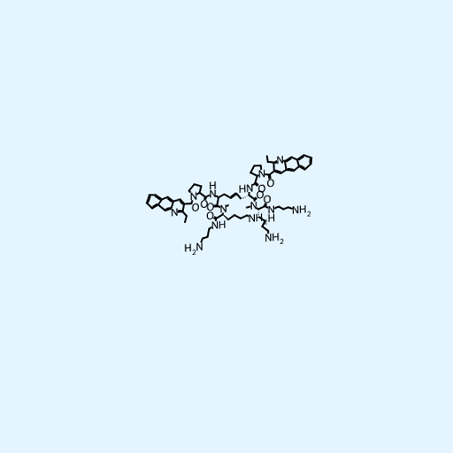 CCc1nc2cc3ccccc3cc2cc1C(=O)N1CCCC1C(=O)NC(CC=CC[C@H](NC(=O)C1CCCN1C(=O)c1cc2cc3ccccc3cc2nc1CC)C(=O)N(C)[C@@H](CCCCN)C(=O)NCCCN)C(=O)N(C)[C@@H](CCCCN)C(=O)NCCCN